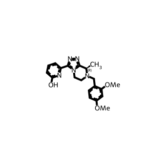 COc1ccc(CN2CCn3c(-c4cccc(O)n4)nnc3[C@H]2C)c(OC)c1